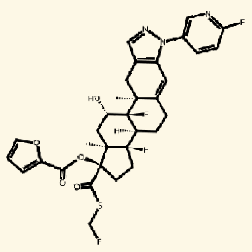 C[C@]12Cc3cnn(-c4ccc(F)nc4)c3C=C1CC[C@H]1[C@@H]3CC[C@](OC(=O)c4ccco4)(C(=O)SCF)[C@@]3(C)C[C@H](O)[C@@]12F